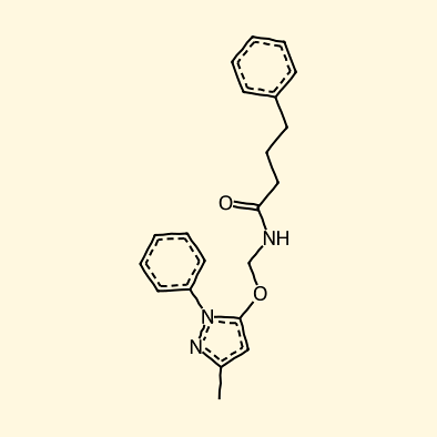 Cc1cc(OCNC(=O)CCCc2ccccc2)n(-c2ccccc2)n1